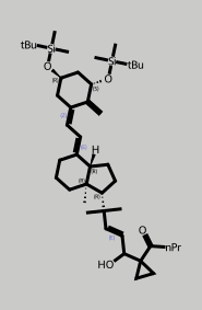 C=C1/C(=C\C=C2/CCC[C@]3(C)[C@@H](C(C)(C)/C=C/C(O)C4(C(=O)CCC)CC4)CC[C@@H]23)C[C@@H](O[Si](C)(C)C(C)(C)C)C[C@@H]1O[Si](C)(C)C(C)(C)C